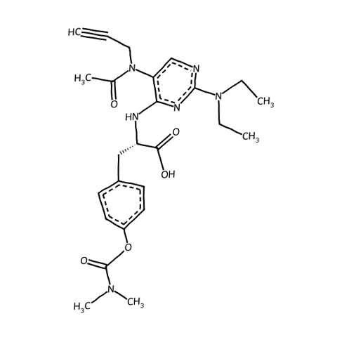 C#CCN(C(C)=O)c1cnc(N(CC)CC)nc1N[C@@H](Cc1ccc(OC(=O)N(C)C)cc1)C(=O)O